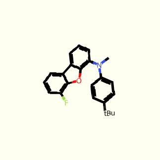 CN(c1ccc(C(C)(C)C)cc1)c1cccc2c1oc1c(F)cccc12